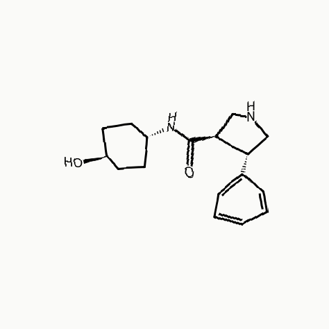 O=C(N[C@H]1CC[C@H](O)CC1)[C@H]1CNC[C@@H]1c1ccccc1